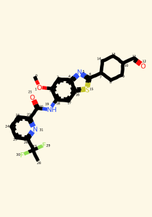 COc1cc2nc(C3CCC(C=O)CC3)sc2cc1NC(=O)c1cccc(C(C)(F)F)n1